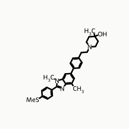 CSc1ccc(-c2nc3c(C)cc(-c4ccc(CCN5CCC(C)(O)CC5)cc4)cc3n2C)cc1